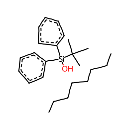 CC(C)(C)[Si](O)(c1ccccc1)c1ccccc1.CCCCCCCC